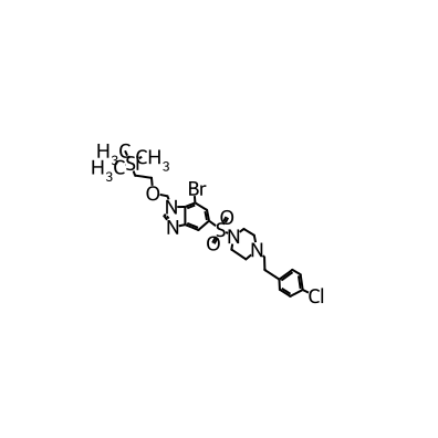 C[Si](C)(C)CCOCn1cnc2cc(S(=O)(=O)N3CCN(CCc4ccc(Cl)cc4)CC3)cc(Br)c21